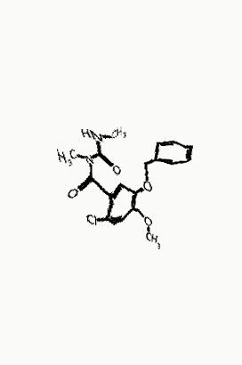 CNC(=O)N(C)C(=O)c1cc(OCc2ccccc2)c(OC)cc1Cl